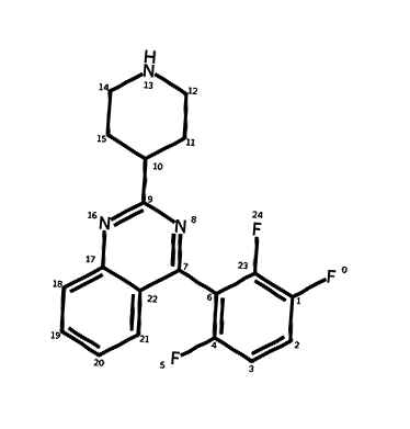 Fc1ccc(F)c(-c2nc(C3CCNCC3)nc3ccccc23)c1F